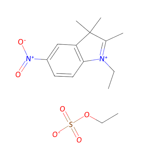 CCOS(=O)(=O)[O-].CC[N+]1=C(C)C(C)(C)c2cc([N+](=O)[O-])ccc21